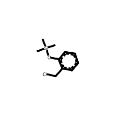 C[Si](C)(C)Oc1ccccc1CCl